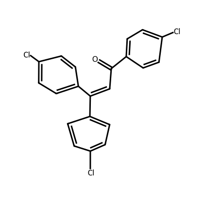 O=C(C=C(c1ccc(Cl)cc1)c1ccc(Cl)cc1)c1ccc(Cl)cc1